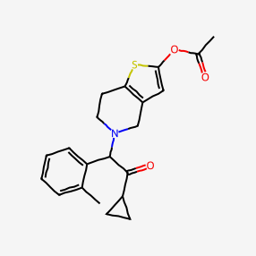 CC(=O)Oc1cc2c(s1)CCN(C(C(=O)C1CC1)c1ccccc1C)C2